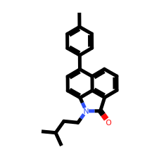 Cc1ccc(-c2ccc3c4c(cccc24)C(=O)N3CCC(C)C)cc1